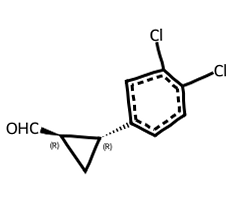 O=C[C@@H]1C[C@H]1c1ccc(Cl)c(Cl)c1